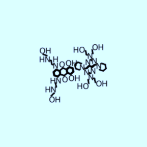 O=C1c2c(O)ccc(O)c2C(=O)c2c(NCCNCCO)ccc(NCCNCCO)c21.OCCN(CCO)c1nc(N2CCCCC2)c2nc(N(CCO)CCO)nc(N3CCCCC3)c2n1